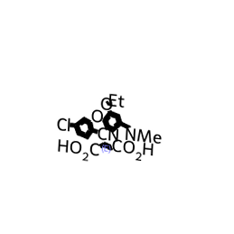 CCOc1cc(CNC)ccc1Oc1cc(Cl)ccc1C#N.O=C(O)/C=C/C(=O)O